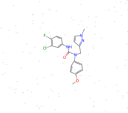 COc1ccc(N(Cc2ccn(C)n2)C(=O)Nc2ccc(F)c(Cl)c2)cc1